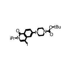 CC(C)n1cc(I)c2cc(N3CCN(C(=O)OC(C)(C)C)CC3)ccc2c1=O